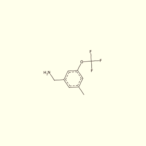 Cc1cc(CN)cc(OC(F)(F)F)c1